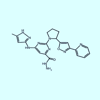 Cc1cc(Nc2cc(C(=O)NN)nc(N3CCCC3c3cc(-c4ccccn4)no3)n2)n[nH]1